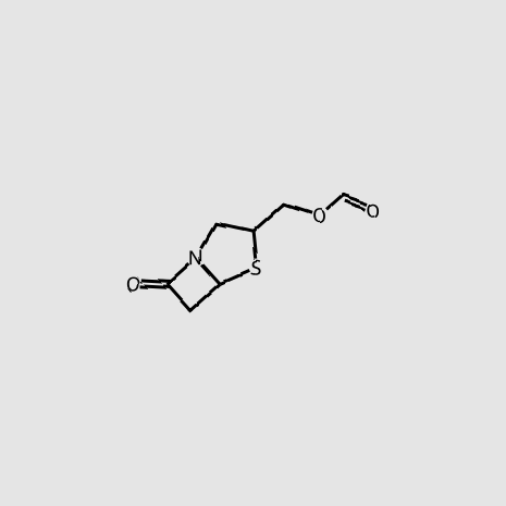 O=COCC1CN2C(=O)CC2S1